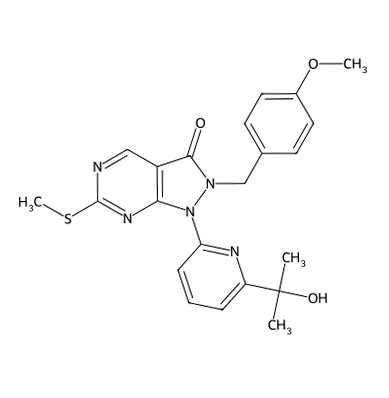 COc1ccc(Cn2c(=O)c3cnc(SC)nc3n2-c2cccc(C(C)(C)O)n2)cc1